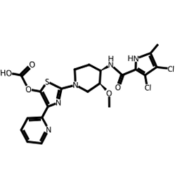 CO[C@H]1CN(c2nc(-c3ccccn3)c(OC(=O)O)s2)CC[C@H]1NC(=O)c1[nH]c(C)c(Cl)c1Cl